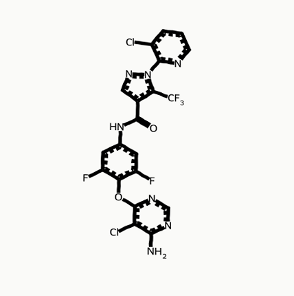 Nc1ncnc(Oc2c(F)cc(NC(=O)c3cnn(-c4ncccc4Cl)c3C(F)(F)F)cc2F)c1Cl